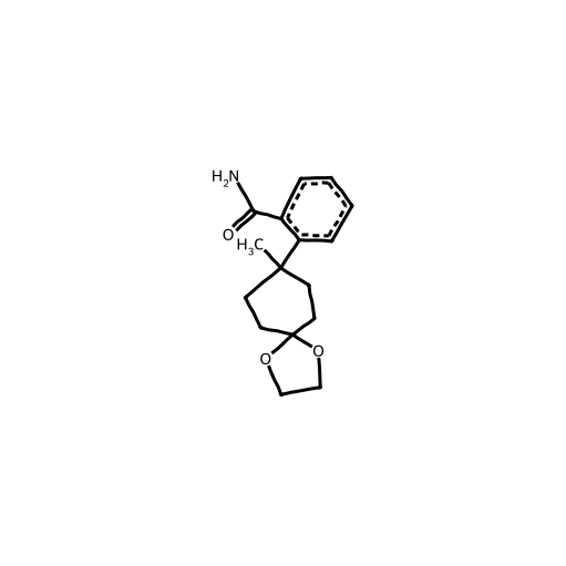 CC1(c2ccccc2C(N)=O)CCC2(CC1)OCCO2